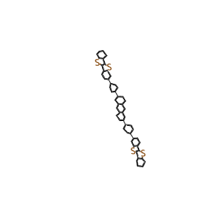 c1ccc2c(c1)sc1c3ccc(-c4ccc(-c5ccc6cc7cc(-c8ccc(-c9ccc%10c(c9)sc9c%11ccccc%11sc%109)cc8)ccc7cc6c5)cc4)cc3sc21